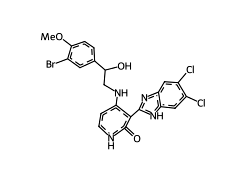 COc1ccc(C(O)CNc2cc[nH]c(=O)c2-c2nc3cc(Cl)c(Cl)cc3[nH]2)cc1Br